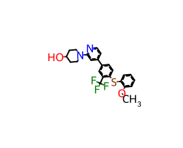 COc1ccccc1Sc1ccc(-c2ccnc(N3CCC(O)CC3)c2)cc1C(F)(F)F